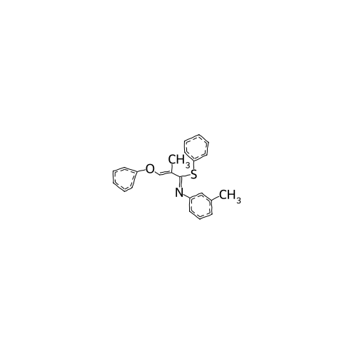 C/C(=C\Oc1ccccc1)C(=Nc1cccc(C)c1)Sc1ccccc1